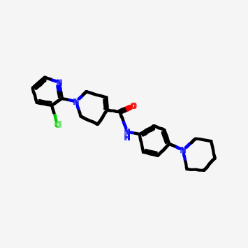 O=C(Nc1ccc(N2CCCCC2)cc1)C1=CCN(c2ncccc2Cl)CC1